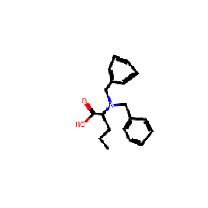 CCCC(C(=O)O)N(Cc1ccccc1)Cc1ccccc1